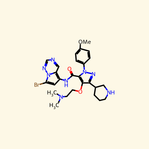 COc1ccc(-n2nc(C3CCCNC3)c(OCCN(C)C)c2C(=O)Nc2cc(Br)n3ncncc23)cc1